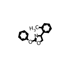 Cc1ccccc1C1COC(Oc2ccccc2)=N1